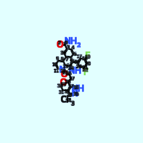 NC(=O)c1cccc(-c2cccnc2C(Cc2cc(F)cc(F)c2)NC(=O)C[C@@H]2OCCc3c(C(F)(F)F)n[nH]c32)c1